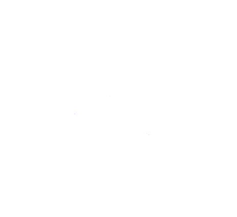 CCCCNc1cc(NCCNC2CCCCC2)c2noc3c2c1C(=O)c1ccccc1-3